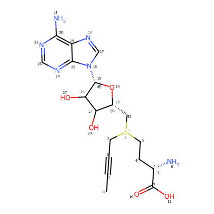 CC#CC[S+](CC[C@H](N)C(=O)O)C[C@H]1O[C@@H](n2cnc3c(N)ncnc32)C(O)C1O